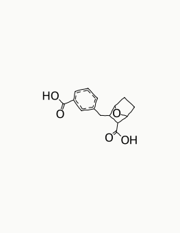 O=C(O)c1cccc(CC2C3CCC(O3)C2C(=O)O)c1